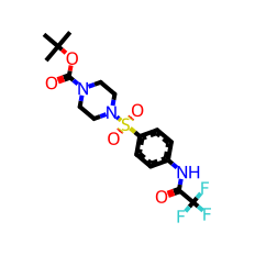 CC(C)(C)OC(=O)N1CCN(S(=O)(=O)c2ccc(NC(=O)C(F)(F)F)cc2)CC1